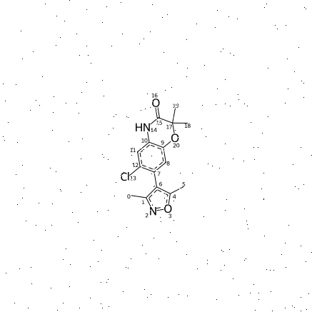 Cc1noc(C)c1-c1cc2c(cc1Cl)NC(=O)C(C)(C)O2